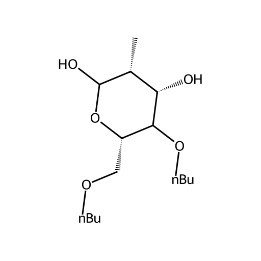 CCCCOC[C@@H]1OC(O)[C@H](C)[C@H](O)C1OCCCC